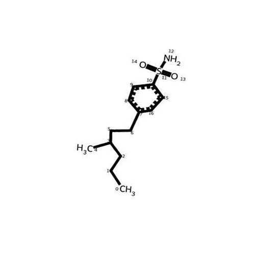 CCCC(C)CCc1ccc(S(N)(=O)=O)cc1